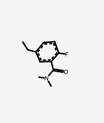 CCc1ccc(F)c(C(=O)N(C)C)c1